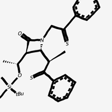 C[C@@H](O[Si](C)(C)C(C)(C)C)[C@H]1C(=O)N(CC(=S)c2ccccc2)[C@@H]1[C@@H](C)C(=S)c1ccccc1